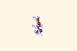 NCC(=O)COc1ccc(C(=O)c2sc(N(CCC(N)=O)c3ccccc3)nc2N)cc1